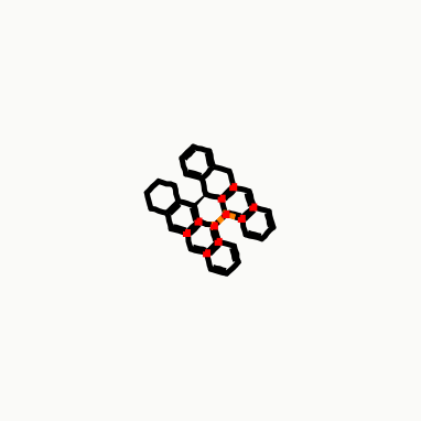 c1ccc(P(c2ccccc2)c2ccc3c(c2[C@H]2c4ccccc4CC[C@H]2P(c2ccccc2)c2ccccc2)CCCC3)cc1